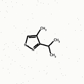 CC1=C[N]N=C1C(C)C